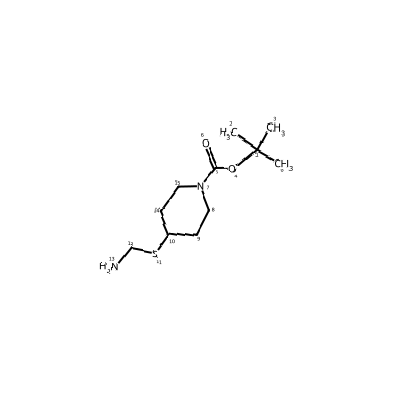 CC(C)(C)OC(=O)N1CCC(SCN)CC1